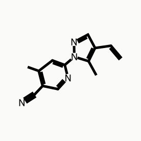 C=Cc1cnn(-c2cc(C)c(C#N)cn2)c1C